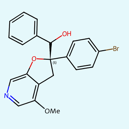 COc1cncc2c1C[C@](c1ccc(Br)cc1)(C(O)c1ccccc1)O2